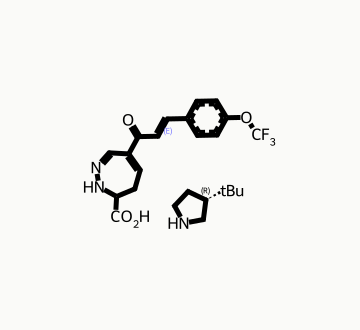 CC(C)(C)[C@H]1CCNC1.O=C(/C=C/c1ccc(OC(F)(F)F)cc1)C1=CCC(C(=O)O)NN=C1